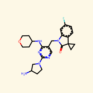 NC1CCN(c2ncc(CN3C(=O)C4(CC4)c4ccc(F)cc43)c(NC3CCOCC3)n2)C1